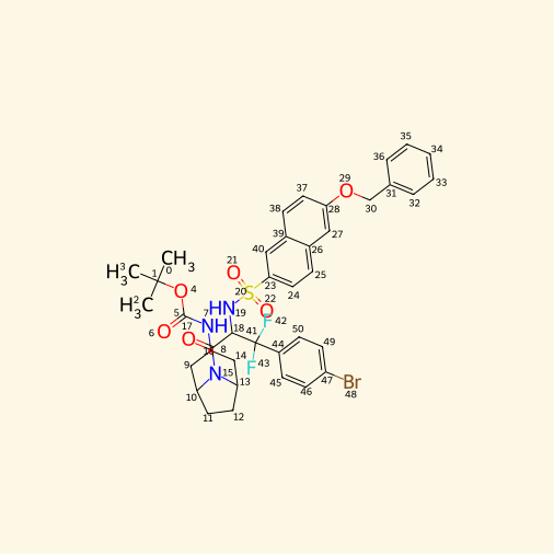 CC(C)(C)OC(=O)NC1CC2CCC(C1)N2C(=O)C(NS(=O)(=O)c1ccc2cc(OCc3ccccc3)ccc2c1)C(F)(F)c1ccc(Br)cc1